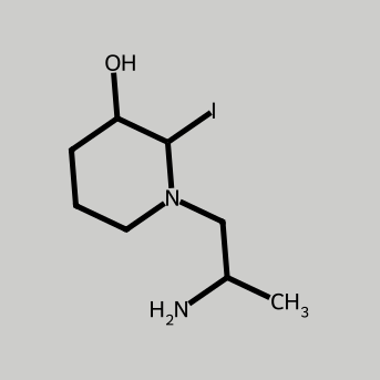 CC(N)CN1CCCC(O)C1I